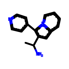 CC(N)c1cc2ccccn2c1-c1ccncc1